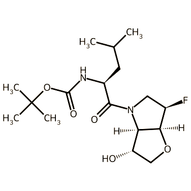 CC(C)C[C@H](NC(=O)OC(C)(C)C)C(=O)N1C[C@@H](F)[C@H]2OC[C@H](O)[C@H]21